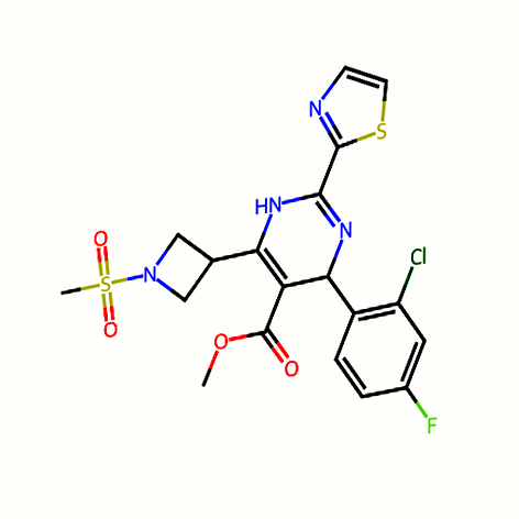 COC(=O)C1=C(C2CN(S(C)(=O)=O)C2)NC(c2nccs2)=NC1c1ccc(F)cc1Cl